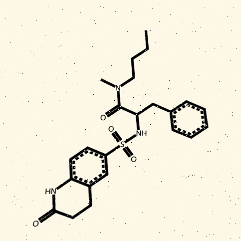 CCCCN(C)C(=O)C(Cc1ccccc1)NS(=O)(=O)c1ccc2c(c1)CCC(=O)N2